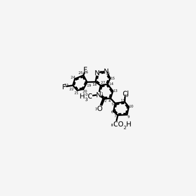 Cn1c(=O)c(-c2cc(C(=O)O)ccc2Cl)cc2cnnc(-c3ccc(F)cc3F)c21